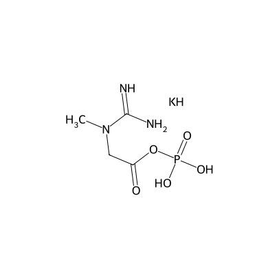 CN(CC(=O)OP(=O)(O)O)C(=N)N.[KH]